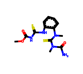 COC(=O)NC(=S)Nc1ccccc1N(C)C(=S)N(C)C(N)=O